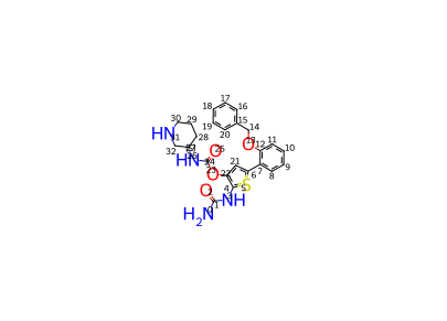 NC(=O)Nc1sc(-c2ccccc2OCc2ccccc2)cc1OC(=O)N[C@H]1CCCNC1